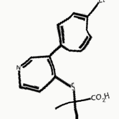 CCc1ccc(-c2cnccc2SC(C)(C)C(=O)O)cc1